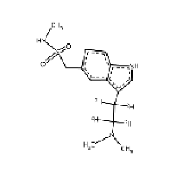 [2H]C([2H])(c1c[nH]c2ccc(CS(=O)(=O)NC)cc12)C([2H])([2H])N(C)C